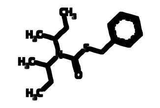 CCC(C)N(C(=O)SCc1ccccc1)C(C)CC